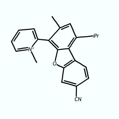 Cc1cc(C(C)C)c2c(oc3cc(C#N)ccc32)c1-c1cccc[n+]1C